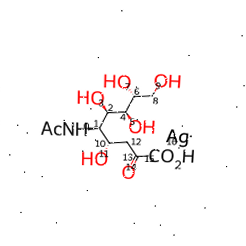 CC(=O)N[C@@H]([C@@H](O)[C@H](O)[C@H](O)CO)[C@@H](O)CC(=O)C(=O)O.[Ag]